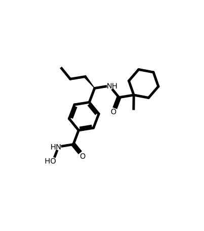 CCC[C@@H](NC(=O)C1(C)CCCCC1)c1ccc(C(=O)NO)cc1